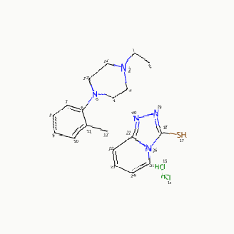 CCN1CCN(c2ccccc2C)CC1.Cl.Cl.Sc1nnc2ccccn12